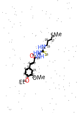 CCOc1ccc(C=CC(=O)NNC(=S)NCCCSC)cc1OC